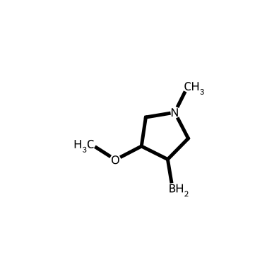 BC1CN(C)CC1OC